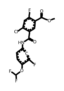 COC(=O)c1cc(C(=O)Nc2ccc(OC(F)F)c(F)c2)c(Cl)cc1F